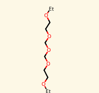 CCOCCOCOCOCCOCC